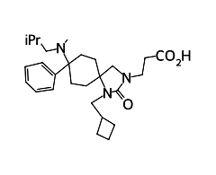 CC(C)CN(C)C1(c2ccccc2)CCC2(CC1)CN(CCC(=O)O)C(=O)N2CC1CCC1